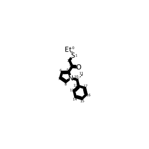 CCSCC(=O)c1cccn1[C@H](C)c1ccccc1